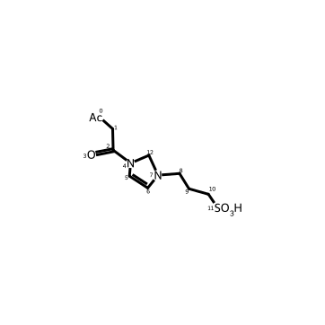 CC(=O)CC(=O)N1C=CN(CCCS(=O)(=O)O)C1